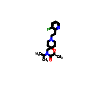 CC(C)N1CC2(CCN(CCc3ncccc3F)CC2)O[C@H](C)C1=O